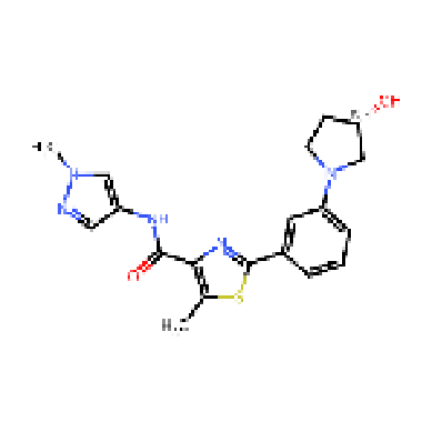 Cc1sc(-c2cccc(N3CC[C@H](O)C3)c2)nc1C(=O)Nc1cnn(C)c1